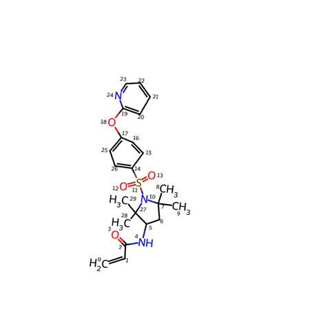 C=CC(=O)NC1CC(C)(C)N(S(=O)(=O)c2ccc(Oc3ccccn3)cc2)C1(C)C